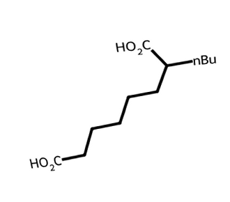 CCCCC(CCCCCC(=O)O)C(=O)O